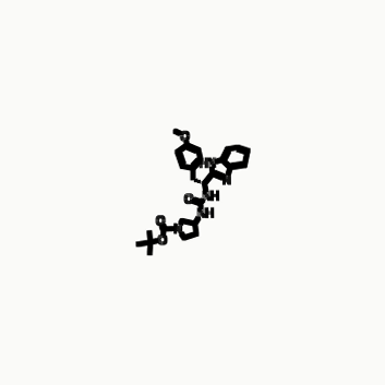 COc1ccc(C[C@@H](NC(=O)NC2CCN(C(=O)OC(C)(C)C)C2)c2nc3ccccc3[nH]2)cc1